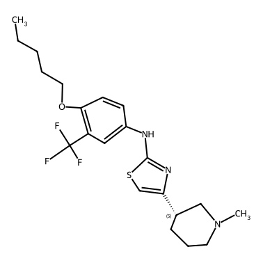 CCCCCOc1ccc(Nc2nc([C@H]3CCCN(C)C3)cs2)cc1C(F)(F)F